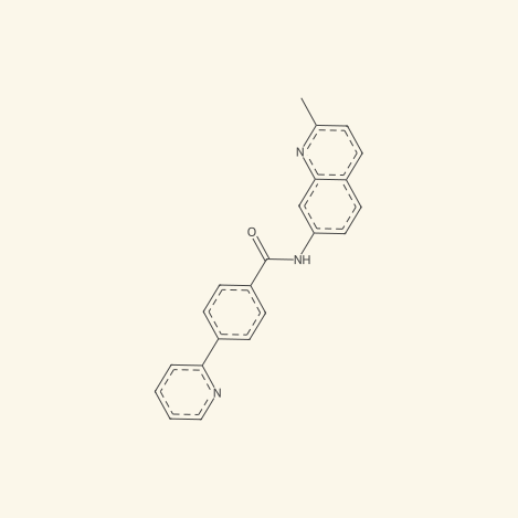 Cc1ccc2ccc(NC(=O)c3ccc(-c4ccccn4)cc3)cc2n1